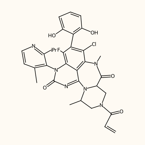 C=CC(=O)N1CC(C)N2c3nc(=O)n(-c4c(C)ccnc4C(C)C)c4c(F)c(-c5c(O)cccc5O)c(Cl)c(c34)N(C)C(=O)C2C1